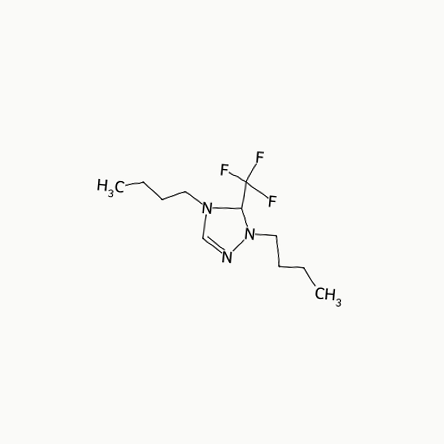 CCCCN1C=NN(CCCC)C1C(F)(F)F